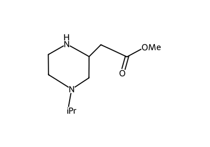 COC(=O)CC1CN(C(C)C)CCN1